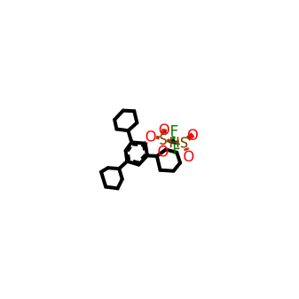 O=[SH](=O)C(F)(F)S(=O)(=O)Oc1c(C2CCCCC2)cc(C2CCCCC2)cc1C1CCCCC1